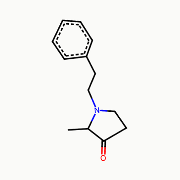 CC1C(=O)CCN1CCc1ccccc1